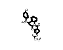 CC(=O)N(c1ccc(Cl)cc1)C1CC(C)N(C(=O)c2ccc(OC(F)C(=O)O)cc2)c2ccccc21